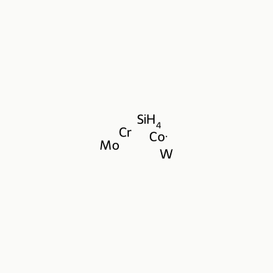 [Co].[Cr].[Mo].[SiH4].[W]